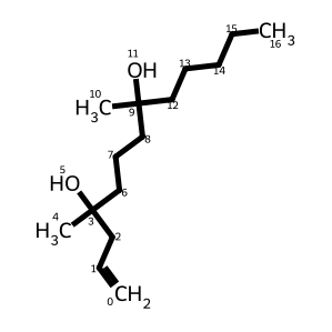 C=CCC(C)(O)CCCC(C)(O)CCCCC